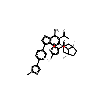 CC(=O)c1c([C@H]2C[C@H]3CC[C@@H](C2)N3C(=O)c2cc(N)n[nH]2)nc2c(-c3ccc(-c4cnn(C)c4)nc3)cnn2c1N